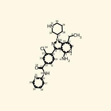 CCc1cnc(N)c2c(-c3ccc(C(=O)Nc4ccccn4)cc3Cl)nn([C@@H]3CCCNC3)c12